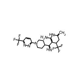 C=C1CC(C(F)(F)F)C(C(=N)C2CCN(c3ccc(C(F)(F)F)nn3)CC2)=C(N)N1